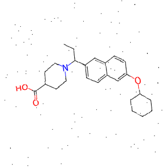 CCC(c1ccc2cc(OC3CCCCC3)ccc2c1)N1CCC(C(=O)O)CC1